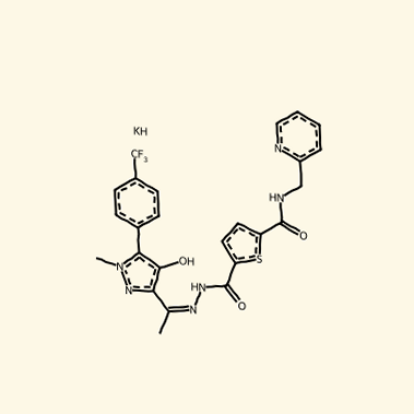 C/C(=N/NC(=O)c1ccc(C(=O)NCc2ccccn2)s1)c1nn(C)c(-c2ccc(C(F)(F)F)cc2)c1O.[KH]